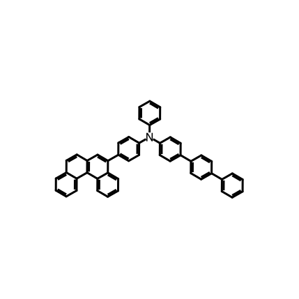 c1ccc(-c2ccc(-c3ccc(N(c4ccccc4)c4ccc(-c5cc6ccc7ccccc7c6c6ccccc56)cc4)cc3)cc2)cc1